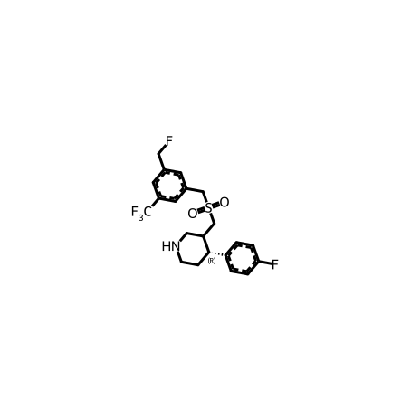 O=S(=O)(Cc1cc(CF)cc(C(F)(F)F)c1)CC1CNCC[C@H]1c1ccc(F)cc1